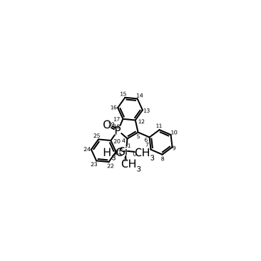 C[Si](C)(C)C1=C(c2ccccc2)c2ccccc2P1(=O)c1ccccc1